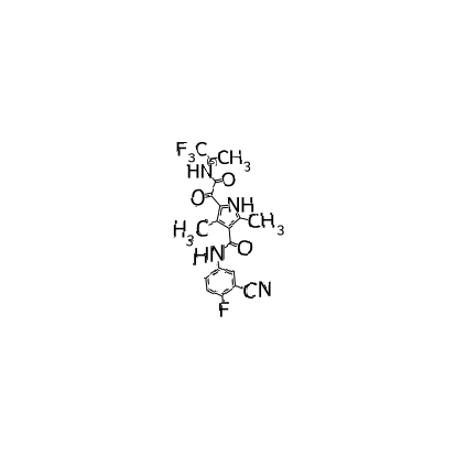 Cc1[nH]c(C(=O)C(=O)N[C@@H](C)C(F)(F)F)c(C)c1C(=O)Nc1ccc(F)c(C#N)c1